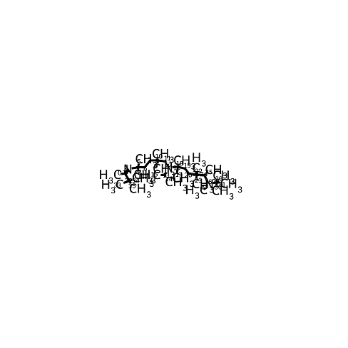 C/C(=N/C(C)(C)CCC(C)(C)CN(C(C)C)C(C)(C)CCC(C)(C)C(C)N(C)C(C)(C)C)C(C)(C)C